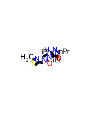 CCCN(N)C(=O)C(CC(C)C)(C(C)C)N1CCN(Cc2csc(C)n2)C1=O